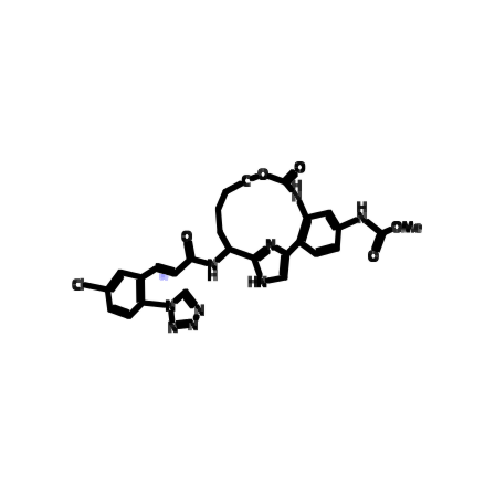 COC(=O)Nc1ccc2c(c1)NC(=O)OCCCCC(NC(=O)/C=C/c1cc(Cl)ccc1-n1cnnn1)c1nc-2c[nH]1